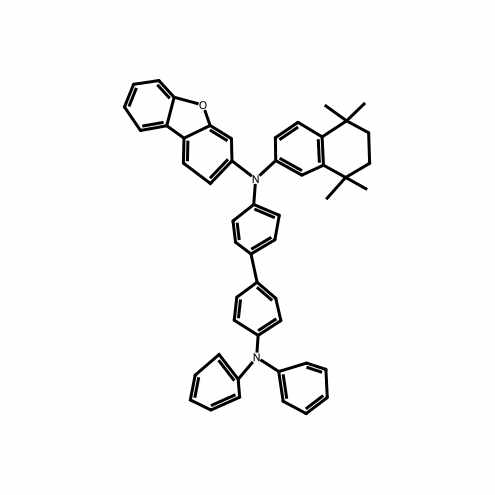 CC1(C)CCC(C)(C)c2cc(N(c3ccc(-c4ccc(N(c5ccccc5)c5ccccc5)cc4)cc3)c3ccc4c(c3)oc3ccccc34)ccc21